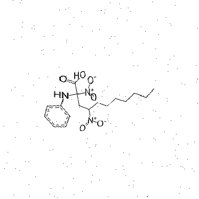 CCCCCCCC(CC(Nc1ccccc1)(C(=O)O)[N+](=O)[O-])[N+](=O)[O-]